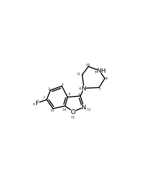 Fc1ccc2c(N3CCNCC3)noc2c1